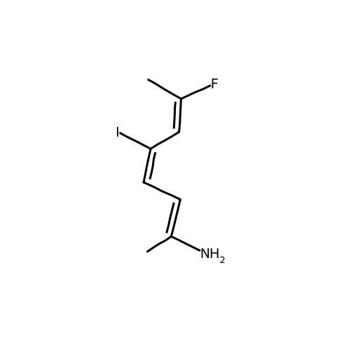 C\C(N)=C/C=C(I)\C=C(/C)F